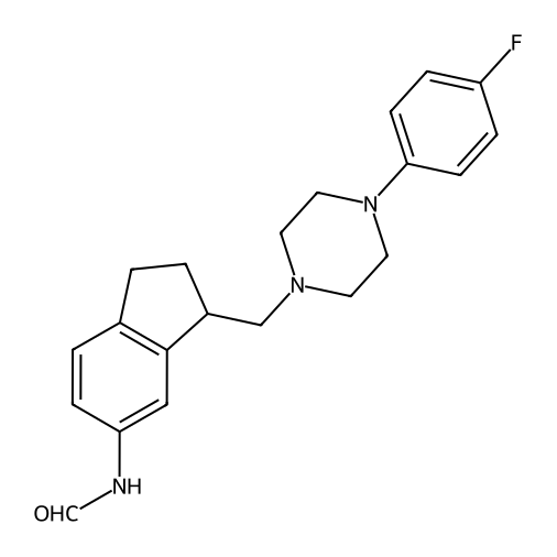 O=CNc1ccc2c(c1)C(CN1CCN(c3ccc(F)cc3)CC1)CC2